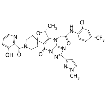 C[C@H]1OC2(CCN(C(=O)c3ncccc3O)CC2)c2c1n(CC(=O)Nc1ccc(C(F)(F)F)cc1Cl)c1nc(-c3ccn(C)n3)nn1c2=O